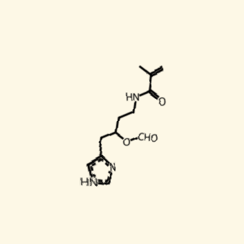 C=C(C)C(=O)NCCC(Cc1c[nH]cn1)OC=O